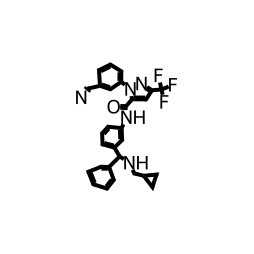 N#Cc1cccc(-n2nc(C(F)(F)F)cc2C(=O)Nc2cccc(C(NCC3CC3)c3ccccc3)c2)c1